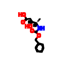 C[C@H](NC(=O)OCc1ccccc1)[C@@H](O)CC(=O)O